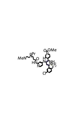 CCCN(CCNC)CCC(=O)Nc1cc(NC(/C=C(\N)c2cc(Cl)ccc2F)=C(/N)C2=CCN(C(=O)OC)CC2)ccn1